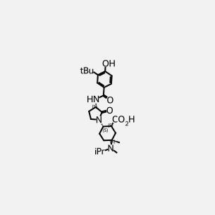 CC(C)N(C)[C@]1(C)CC[C@H](N2CC[C@H](NC(=O)c3ccc(O)c(C(C)(C)C)c3)C2=O)[C@@H](C(=O)O)C1